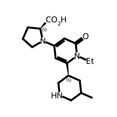 CCn1c([C@@H]2CNCC(C)C2)cc(N2CCC[C@H]2C(=O)O)cc1=O